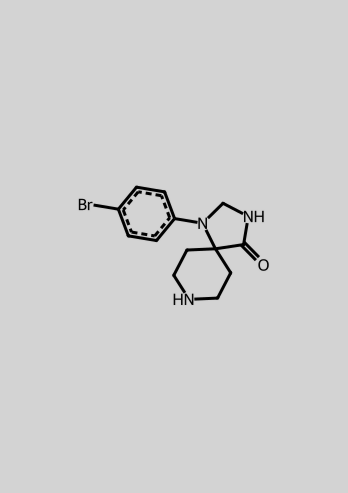 O=C1NCN(c2ccc(Br)cc2)C12CCNCC2